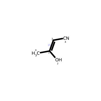 C/C(O)=[C]/C#N